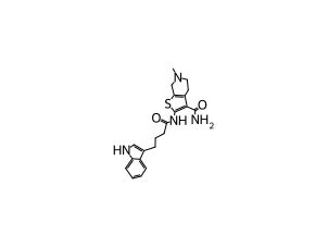 CN1CCc2c(sc(NC(=O)CCCc3c[nH]c4ccccc34)c2C(N)=O)C1